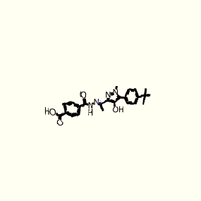 C/C(=N\NC(=O)c1ccc(C(=O)O)cc1)c1nn(C)c(-c2ccc(C(C)(C)C)cc2)c1O